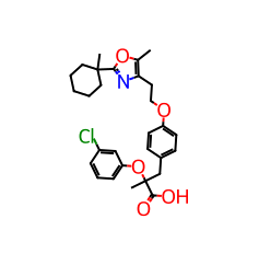 Cc1oc(C2(C)CCCCC2)nc1CCOc1ccc(CC(C)(Oc2cccc(Cl)c2)C(=O)O)cc1